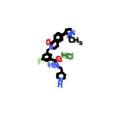 Cl.Cn1nccc1-c1ccc2c(=O)n(Cc3cc(F)cc(C(=O)NCC4CCNCC4)c3)ccc2c1